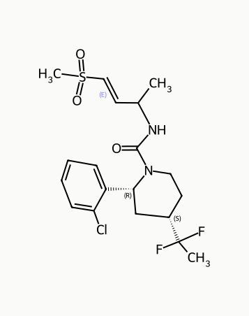 CC(/C=C/S(C)(=O)=O)NC(=O)N1CC[C@H](C(C)(F)F)C[C@@H]1c1ccccc1Cl